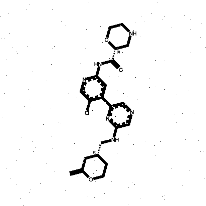 C=C1C[C@H](CNc2cncc(-c3cc(NC(=O)[C@H]4CNCCO4)ncc3Cl)n2)CCO1